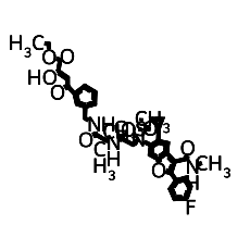 CCOC(=O)C(O)=CC(=O)c1cccc(CNC(=O)C(C)(C)NC(=O)CN(c2cc3oc(-c4ccc(F)cc4)c(C(=O)NC)c3cc2C2CC2)S(C)(=O)=O)c1